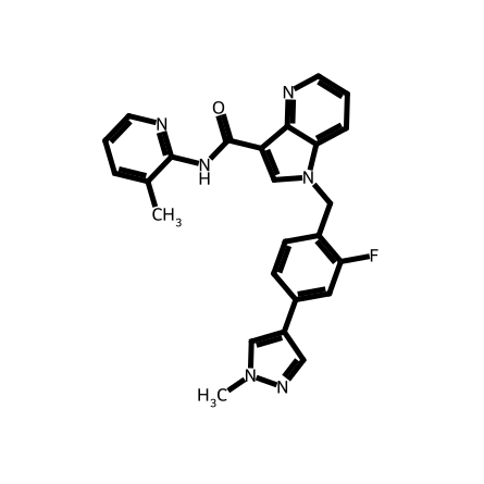 Cc1cccnc1NC(=O)c1cn(Cc2ccc(-c3cnn(C)c3)cc2F)c2cccnc12